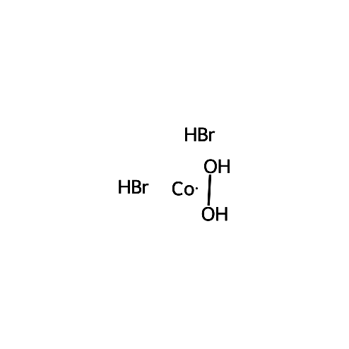 Br.Br.OO.[Co]